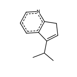 CC(C)C1=CCc2ncccc21